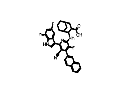 N#Cc1c(-c2c[nH]c3c(F)cc(F)cc23)nc(NC2C3CCCC(C3)CC2C(=O)O)c(F)c1-c1ccc2ccccc2c1